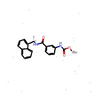 C[C@H](NC(=O)c1cccc(NC(=O)OC(C)(C)C)c1)c1cccc2ccccc12